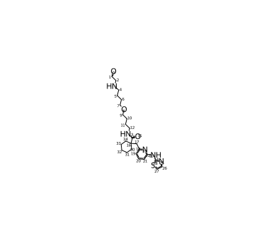 O=CCNCCCCOCCCCNC(=O)C1(Cc2cccc(Nc3nccs3)n2)CCCCC1